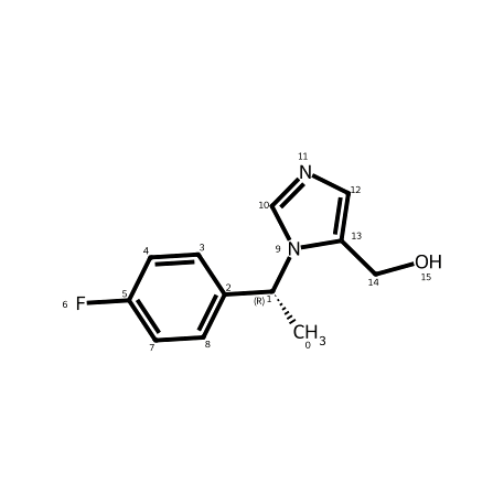 C[C@H](c1ccc(F)cc1)n1cncc1CO